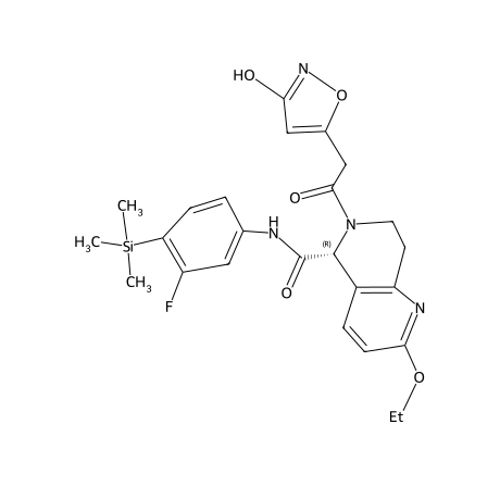 CCOc1ccc2c(n1)CCN(C(=O)Cc1cc(O)no1)[C@H]2C(=O)Nc1ccc([Si](C)(C)C)c(F)c1